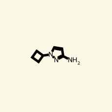 Nc1ccn(C2CCC2)n1